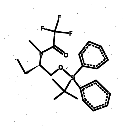 [CH2]C[C@@H](CO[Si](c1ccccc1)(c1ccccc1)C(C)(C)C)N(C)C(=O)C(F)(F)F